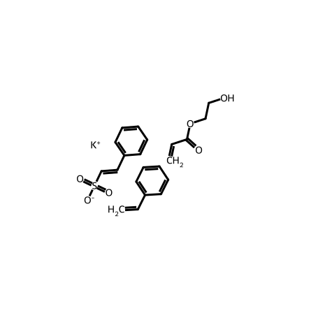 C=CC(=O)OCCO.C=Cc1ccccc1.O=S(=O)([O-])C=Cc1ccccc1.[K+]